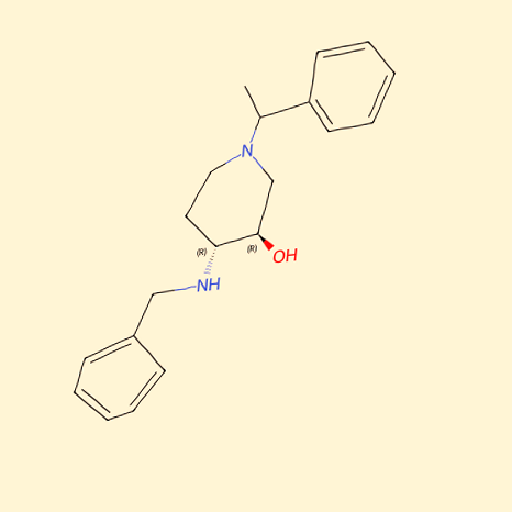 CC(c1ccccc1)N1CC[C@@H](NCc2ccccc2)[C@H](O)C1